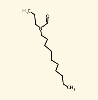 CCCCCCCCCCN([C]=O)CCC